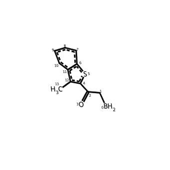 BCC(=O)c1sc2ccccc2c1C